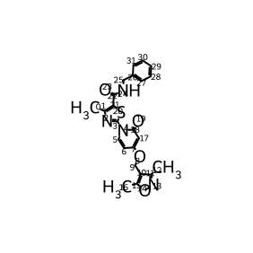 Cc1nc(-n2ccc(OCc3c(C)noc3C)cc2=O)sc1C(=O)NCc1ccccc1